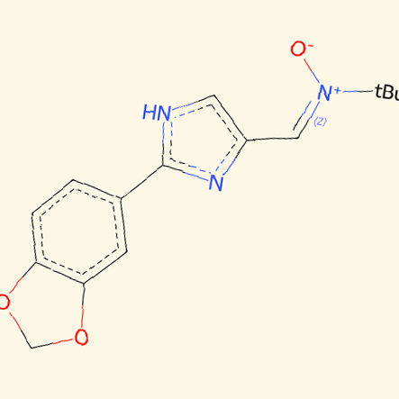 CC(C)(C)/[N+]([O-])=C/c1c[nH]c(-c2ccc3c(c2)OCO3)n1